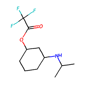 CC(C)NC1CCCC(OC(=O)C(F)(F)F)C1